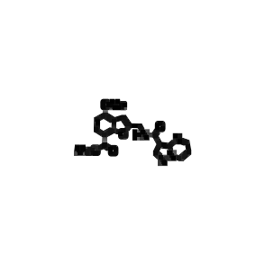 COC(=O)c1ccc(OC)c2cc(CNC(=O)c3cnn4cccnc34)oc12